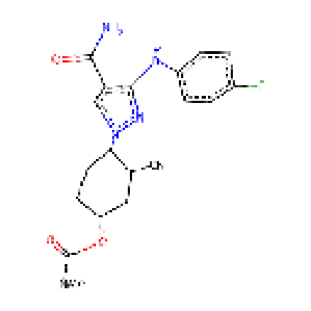 CNC(=O)O[C@@H]1CCC(n2cc(C(N)=O)c(Nc3ccc(F)cc3)n2)C(C#N)C1